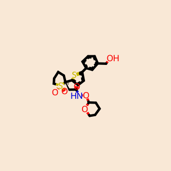 O=C(C[C@]1(c2ccc(-c3cccc(CO)c3)s2)CCCCS1(=O)=O)NOC1CCCCO1